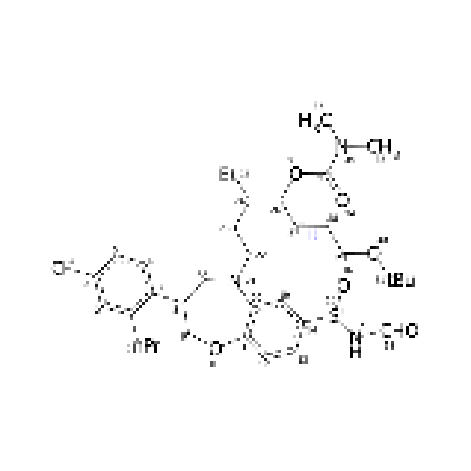 CCCc1cc(Cl)ccc1C1COc2ccc([S+]([O-])NC=O)cc2N(CCC(CC)C(/C=C/COC(C)(C)C)OC(=O)N(C)C)C1